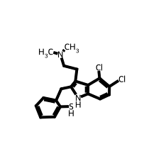 CN(C)CCc1c(Cc2ccccc2S)[nH]c2ccc(Cl)c(Cl)c12